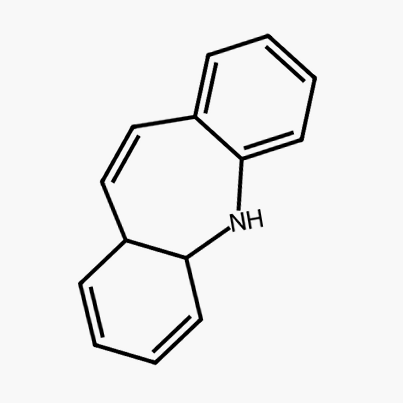 C1=CC2C=Cc3ccccc3NC2C=C1